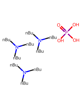 CCCCN(CCCC)CCCC.CCCCN(CCCC)CCCC.CCCCN(CCCC)CCCC.O=P(O)(O)O